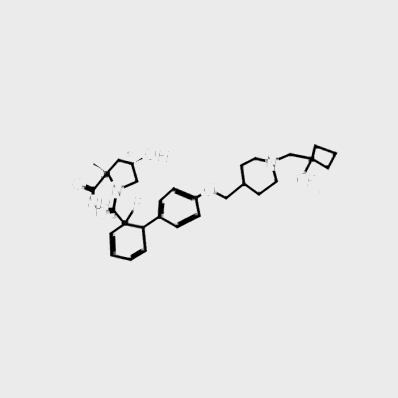 C[C@@]1(C(N)=O)C[C@@H](O)CN1C(=O)C1(F)C=CC=CC1c1ccc(OCC2CCN(CC3(C(F)(F)F)CCC3)CC2)cc1